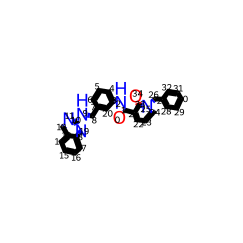 O=C(Nc1cccc(CNc2ncc3ccccc3n2)c1)c1cccn(Cc2ccccc2)c1=O